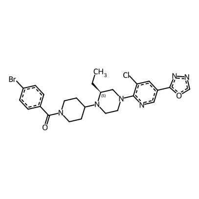 CC[C@H]1CN(c2ncc(-c3nnco3)cc2Cl)CCN1C1CCN(C(=O)c2ccc(Br)cc2)CC1